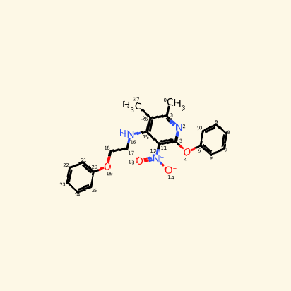 Cc1nc(Oc2ccccc2)c([N+](=O)[O-])c(NCCOc2ccccc2)c1C